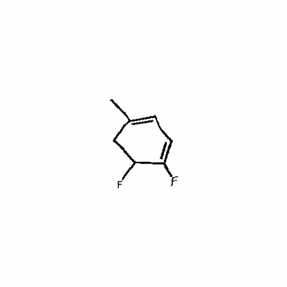 CC1=CC=C(F)C(F)C1